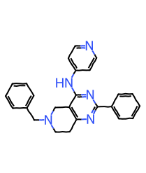 c1ccc(CN2CCc3nc(-c4ccccc4)nc(Nc4ccncc4)c3C2)cc1